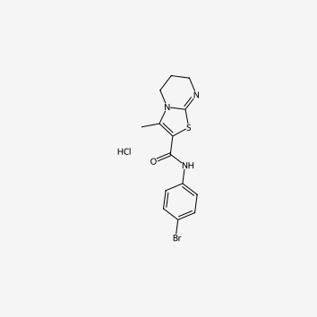 CC1=C(C(=O)Nc2ccc(Br)cc2)SC2=NCCCN21.Cl